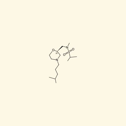 CC(C)CCCN1CCO[C@@H](CN(C)S(=O)(=O)C(C)C)C1